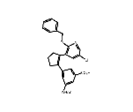 CC(=O)Nc1cc(C(=O)O)cc(C2=C(c3cc(Cl)cnc3OCc3ccccc3)CCC2)c1